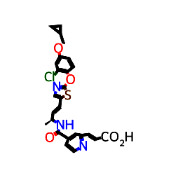 C[C@@H](/C=C/c1cnc(Oc2ccc(OCC3CC3)cc2Cl)s1)NC(=O)c1ccnc(/C=C/C(=O)O)c1